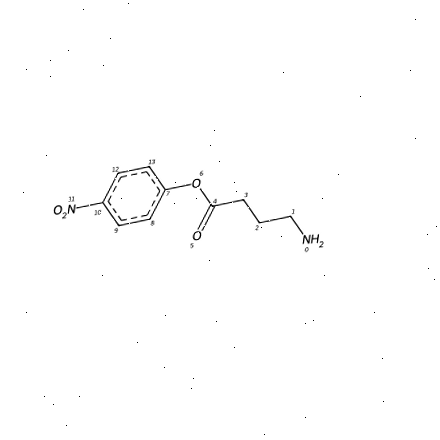 NCCCC(=O)Oc1ccc([N+](=O)[O-])cc1